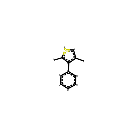 Cc1csc(C)c1-c1ccccc1